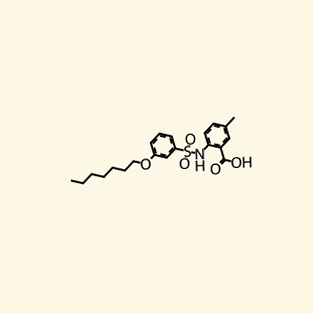 CCCCCCCOc1cccc(S(=O)(=O)Nc2ccc(C)cc2C(=O)O)c1